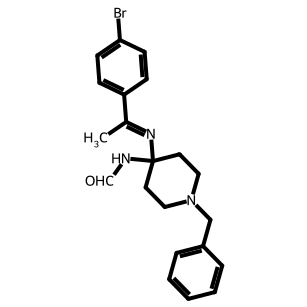 C/C(=N\C1(NC=O)CCN(Cc2ccccc2)CC1)c1ccc(Br)cc1